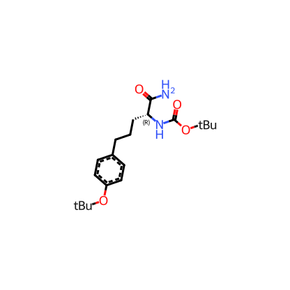 CC(C)(C)OC(=O)N[C@H](CCCc1ccc(OC(C)(C)C)cc1)C(N)=O